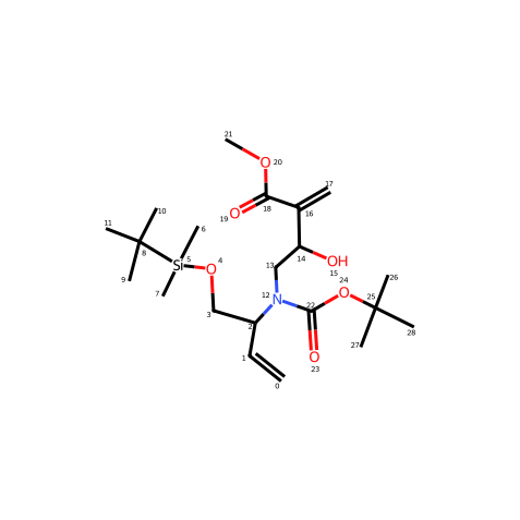 C=CC(CO[Si](C)(C)C(C)(C)C)N(CC(O)C(=C)C(=O)OC)C(=O)OC(C)(C)C